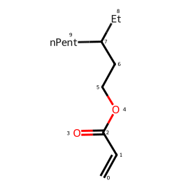 C=CC(=O)OCCC(CC)CCCCC